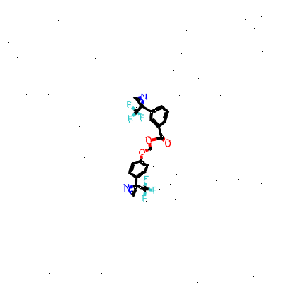 O=C(OCOc1ccc(C2(C(F)(F)F)C=N2)cc1)c1cccc(C2(C(F)(F)F)C=N2)c1